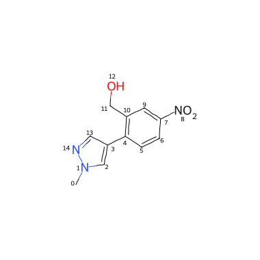 Cn1cc(-c2ccc([N+](=O)[O-])cc2CO)cn1